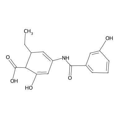 CCC1C=C(NC(=O)c2cccc(O)c2)C=C(O)C1C(=O)O